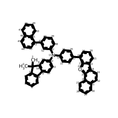 CC1(C)c2ccccc2-c2ccc(N(c3ccc(-c4cccc5c4oc4c6ccccc6ccc54)cc3)c3cccc(-c4cccc5ccccc45)c3)cc21